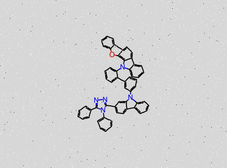 c1ccc(-c2nnc(-c3ccc4c5ccccc5n(-c5cccc(-c6ccccc6-n6c7ccccc7c7ccc8c9ccccc9oc8c76)c5)c4c3)n2-c2ccccc2)cc1